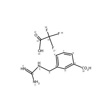 N=C(N)NCc1cccc(C(=O)O)c1.O=C(O)C(F)(F)F